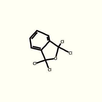 ClC1(Cl)OC(Cl)(Cl)c2ccccc21